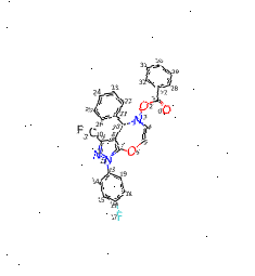 O=C(ON1C=COc2c(c(C(F)(F)F)nn2-c2ccc(F)cc2)C1c1ccccc1)c1ccccc1